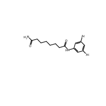 CC(=O)c1cc(NC(=O)CCCCCCC(N)=O)cc(C(C)=O)c1